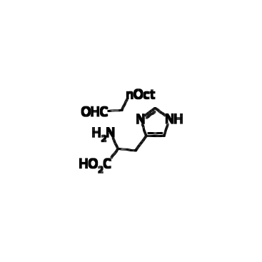 CCCCCCCCCC=O.NC(Cc1c[nH]cn1)C(=O)O